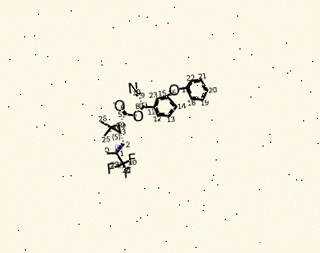 C/C(=C\[C@H]1[C@@H](C(=O)O[C@H](C#N)c2cccc(Oc3ccccc3)c2)C1(C)C)C(F)(F)F